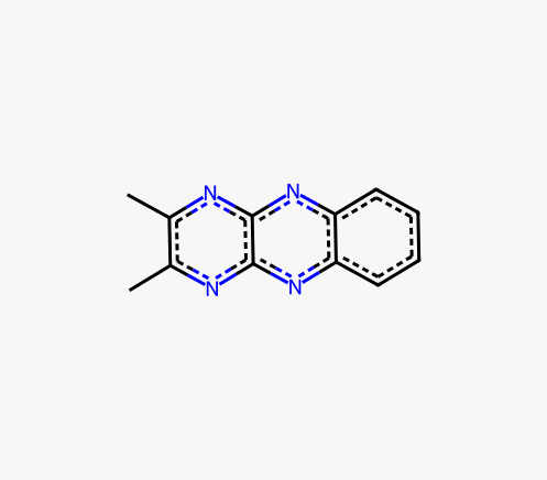 Cc1nc2nc3ccccc3nc2nc1C